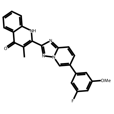 COc1cc(F)cc(-c2ccc3nc(-c4[nH]c5ccccc5c(=O)c4C)nn3c2)c1